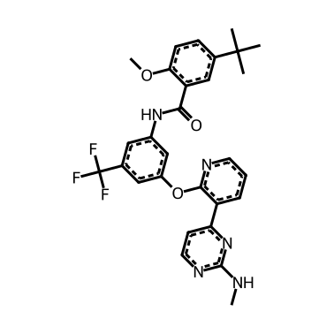 CNc1nccc(-c2cccnc2Oc2cc(NC(=O)c3cc(C(C)(C)C)ccc3OC)cc(C(F)(F)F)c2)n1